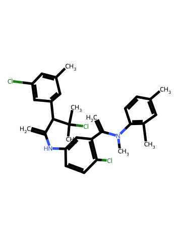 C=C(Nc1ccc(Cl)c(C(=C)N(C)c2ccc(C)cc2C)c1)C(c1cc(C)cc(Cl)c1)C(C)(C)Cl